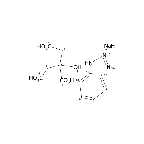 O=C(O)CC(O)(CC(=O)O)C(=O)O.[NaH].c1ccc2[nH]nnc2c1